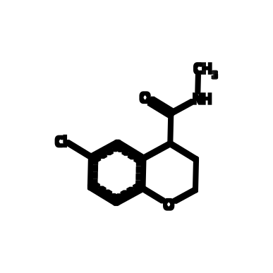 CNC(=O)C1CCOc2ccc(Cl)cc21